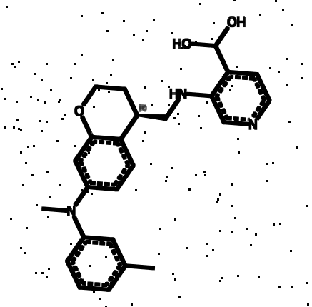 Cc1cccc(N(C)c2ccc3c(c2)OCC[C@H]3CNc2cnccc2C(O)O)c1